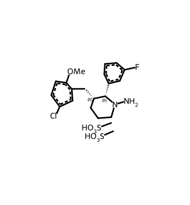 COc1ccc(Cl)cc1C[C@H]1CCCN(N)[C@H]1c1cccc(F)c1.CS(=O)(=O)O.CS(=O)(=O)O